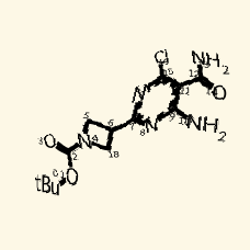 CC(C)(C)OC(=O)N1CC(c2nc(N)c(C(N)=O)c(Cl)n2)C1